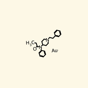 CCC(=O)N(c1ccccc1)C1CCN(CCc2ccccc2)CC1.[Au]